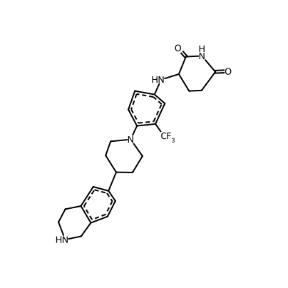 O=C1CCC(Nc2ccc(N3CCC(c4ccc5c(c4)CCNC5)CC3)c(C(F)(F)F)c2)C(=O)N1